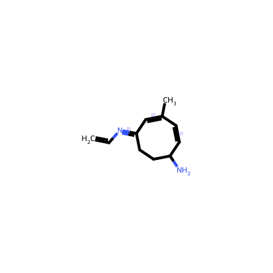 C=C/N=C1/C=C(C)\C=C/C(N)CC1